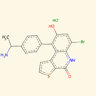 CC(N)c1ccc(-c2c(O)cc(Br)c3[nH]c(=O)c4sccc4c23)cc1.Cl